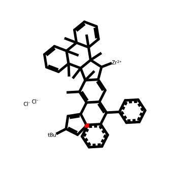 CC1=C(C2=CC(C(C)(C)C)=CC2)C(=C(c2ccccc2)c2ccccc2)C=C2[CH]([Zr+2])C3(C)C4(C)C=CC=CC4(C)C4(C)C=CC=CC4(C)C3(C)C21C.[Cl-].[Cl-]